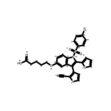 N#Cc1sccc1-c1c(-c2cccs2)n(S(=O)(=O)c2ccc(Cl)cc2)c2ccc(OCCCCC(=O)O)cc12